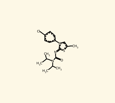 Cc1cn(-c2ccc(Cl)cc2)c(=NC(=O)N(C(C)C)C(C)C)s1